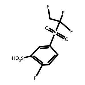 O=S(=O)(O)c1cc(S(=O)(=O)C(F)(F)CF)ccc1F